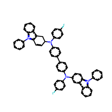 Fc1ccc(N(c2ccc(-c3ccc(N(c4ccc(F)cc4)C4C=Cc5c(c6ccccc6n5-c5ccccc5)C4)cc3)cc2)c2ccc3c(c2)c2ccccc2n3-c2ccccc2)cc1